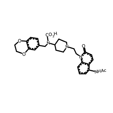 CC(=O)Nc1cccc2c1ccc(=O)n2CCN1CCC(N(Cc2ccc3c(c2)OCCO3)C(=O)O)CC1